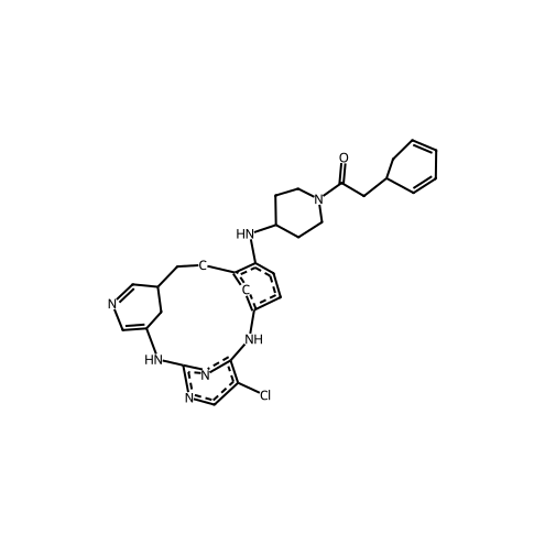 O=C(CC1C=CC=CC1)N1CCC(Nc2ccc3cc2CCC2C=NC=C(C2)Nc2ncc(Cl)c(n2)N3)CC1